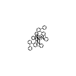 O=c1c2c3c(-c4ccccc4-c4ccccc4)ccc4c5ccccc5n(c43)c2n2c3c(c(=O)n12)c1c(-c2ccccc2-c2ccccc2)ccc2c4ccccc4n3c21